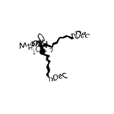 CCCCCCCCCCCCCCCCCCC(C)(CCCCCCCCCCCCCCCCCC)C(=O)OC.[SnH2]